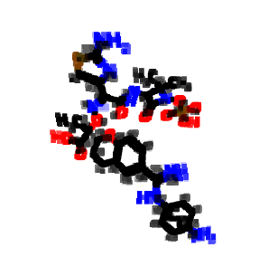 CC(O/N=C(\C(=O)N[C@@H]1C(=O)N(OS(=O)(=O)O)C1(C)C)c1csc(N)n1)(C(=O)O)[C@H]1CCc2cc(C(=N)NC34CCC(N)(CC3)CC4)ccc2O1